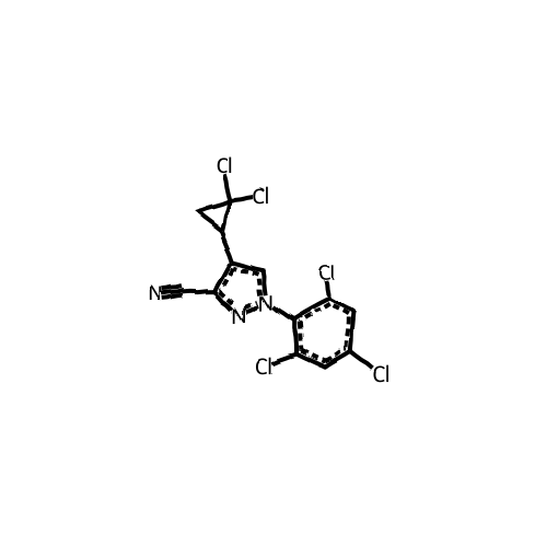 N#Cc1nn(-c2c(Cl)cc(Cl)cc2Cl)cc1C1CC1(Cl)Cl